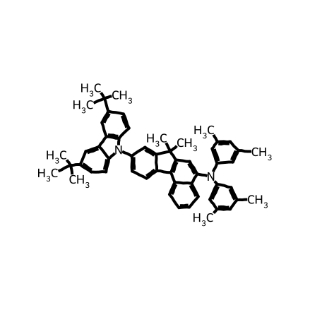 Cc1cc(C)cc(N(c2cc(C)cc(C)c2)c2cc3c(c4ccccc24)-c2ccc(-n4c5ccc(C(C)(C)C)cc5c5cc(C(C)(C)C)ccc54)cc2C3(C)C)c1